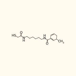 CC1C=C(C(=O)NCCCCCCNC(=O)CS)C=CC1